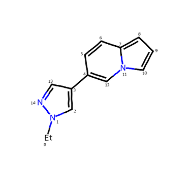 CCn1cc(-c2ccc3cccn3c2)cn1